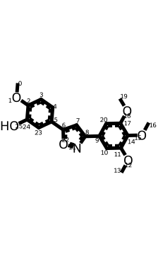 COc1ccc(-c2cc(-c3cc(OC)c(OC)c(OC)c3)no2)cc1O